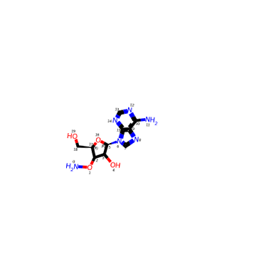 NOC1C(O)[C@H](n2cnc3c(N)ncnc32)O[C@@H]1CO